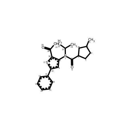 CC1CCC(C(=O)N(c2cc(-c3ccccc3)sc2C(=O)O)C(C)C)C1